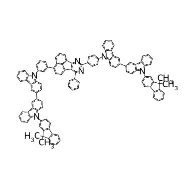 CC1(C)c2ccccc2-c2ccc(-n3c4ccccc4c4cc(-c5ccc6c(c5)c5ccccc5n6-c5ccc(-c6nc(-c7ccccc7)c7c(n6)-c6cccc8c(-c9cccc(-n%10c%11ccccc%11c%11cc(-c%12ccc%13c(c%12)c%12ccccc%12n%13-c%12ccc%13c(c%12)C(C)(C)c%12ccccc%12-%13)ccc%11%10)c9)ccc-7c68)cc5)ccc43)cc21